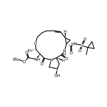 CC[C@@H]1OCCC/C=C\[C@@H]2C[C@@]2(C(=O)NS(=O)(=O)C2(C)CC2)NC(=O)[C@@H]2C[C@@H](O)CN2C(=O)[C@H]1NC(=O)OC(C)(C)C